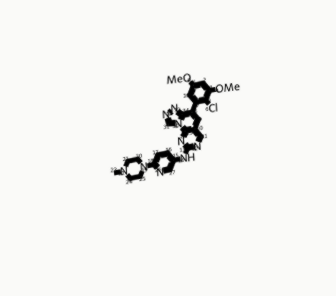 COc1cc(OC)c(Cl)c(-c2cc3cnc(Nc4ccc(N5CCN(C)CC5)nc4)nc3n3cnnc23)c1